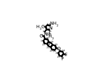 Cc1cc(N)nc(C)c1CNC(=O)c1ccc2c(c1)c1oc2c2ccc(Oc3ccc(F)c(F)c3)cc21